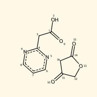 O=C(O)Cc1ncccn1.O=C1COC(=O)C1